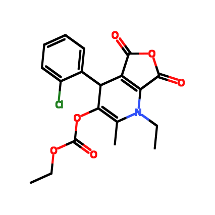 CCOC(=O)OC1=C(C)N(CC)C2=C(C(=O)OC2=O)C1c1ccccc1Cl